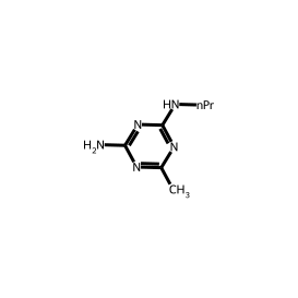 CCCNc1nc(C)nc(N)n1